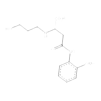 COc1ccccc1NC(=O)C[C@H](NCCCO)C(=O)O